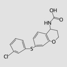 O=C(O)NC1CCOc2cc(Sc3cccc(Cl)c3)ccc21